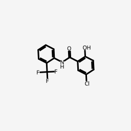 O=C(Nc1ccccc1C(F)(F)F)c1cc(Cl)ccc1O